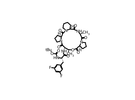 C[C@@H]1NC(=O)[C@@H]2CCCCN2C(=O)[C@@H]2CCCN2C(=O)[C@@H](NC(=O)[C@H](Cc2cc(F)cc(F)c2)NC(=O)OC(C)(C)C)[C@H](C)OC(=O)[C@@H]2CCCN2C1=O